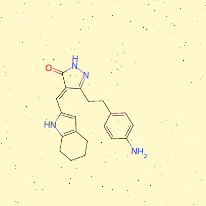 Nc1ccc(CCC2=NNC(=O)/C2=C/c2cc3c([nH]2)CCCC3)cc1